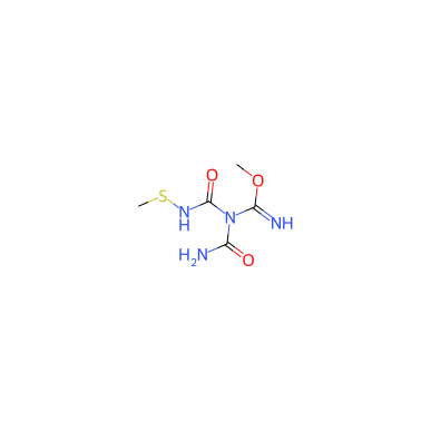 COC(=N)N(C(N)=O)C(=O)NSC